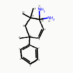 CC1(c2ccccc2)C=CC(N)(N)C(C)(C)C1